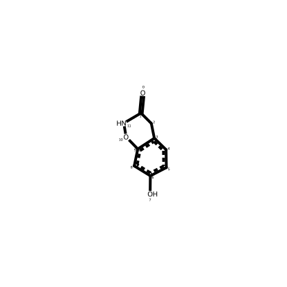 O=C1Cc2ccc(O)cc2ON1